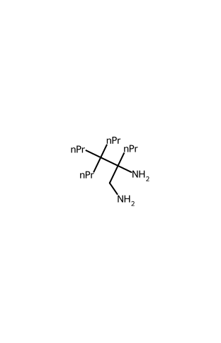 CCCC(N)(CN)C(CCC)(CCC)CCC